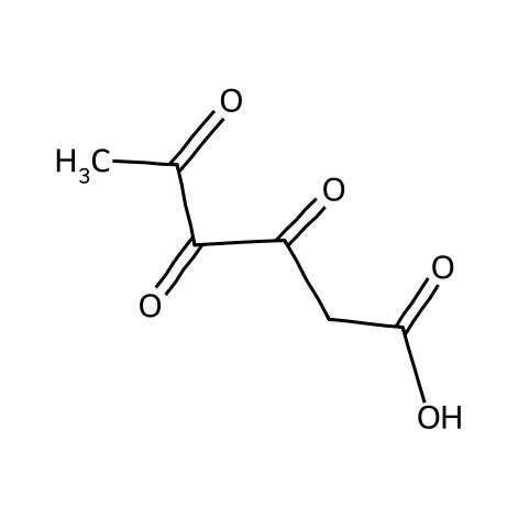 CC(=O)C(=O)C(=O)CC(=O)O